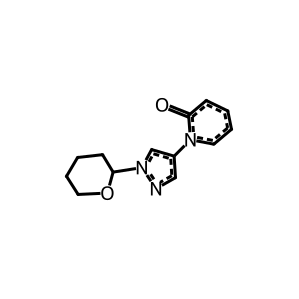 O=c1ccccn1-c1cnn(C2CCCCO2)c1